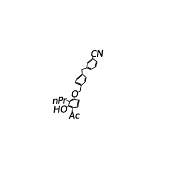 CCCc1c(OCc2ccc(Cc3cccc(C#N)c3)cc2)ccc(C(C)=O)c1O